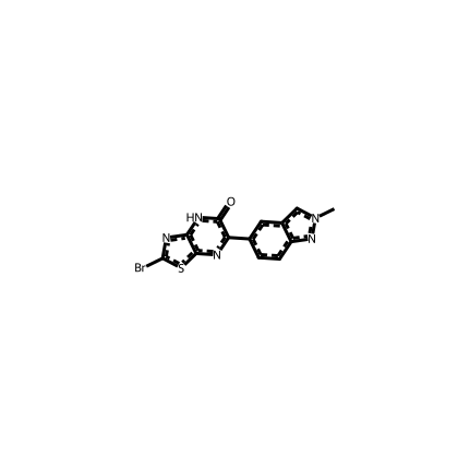 Cn1cc2cc(-c3nc4sc(Br)nc4[nH]c3=O)ccc2n1